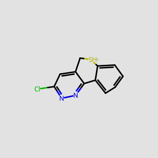 Clc1cc2c(nn1)-c1ccccc1[SH]C2